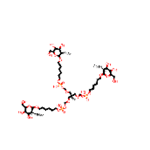 CC(=O)NC1C(OCCCCCCOP(=O)(O)OCOCC(COCOP(=O)(O)OCCCCCCOC2OC(CO)C(O)C(O)[C@@H]2NC(C)=O)(COCOP(=O)(O)OCCCCCCOC2OC(CO)C(O)C(O)[C@@H]2NC(C)=O)C(C)C)OC(CO)C(O)C1O